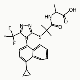 CC(NC(=O)C(C)(C)Sc1nnc(C(F)(F)F)n1-c1ccc(C2CC2)c2ccccc12)C(=O)O